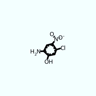 Nc1cc([N+](=O)[O-])c(Cl)cc1O